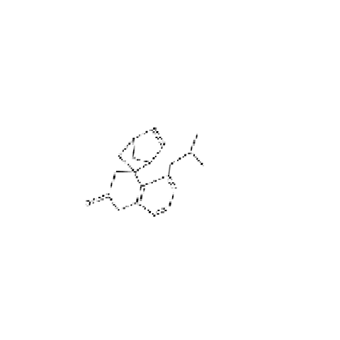 CC(C)Cc1cccc2c1C1(CC(=O)C2)CC2C=CC1C2